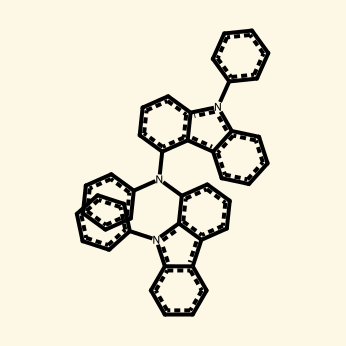 c1ccc(N(c2cccc3c2c2ccccc2n3-c2ccccc2)c2cccc3c4ccccc4n(-c4ccccc4)c23)cc1